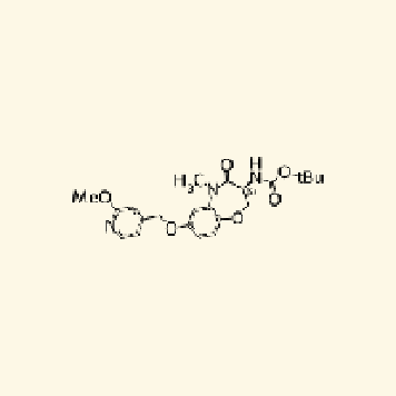 COc1cc(COc2ccc3c(c2)N(C)C(=O)[C@@H](NC(=O)OC(C)(C)C)CO3)ccn1